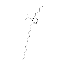 CCCCCCCCCCC[n+]1ccn(CCCC)c1C(C)C